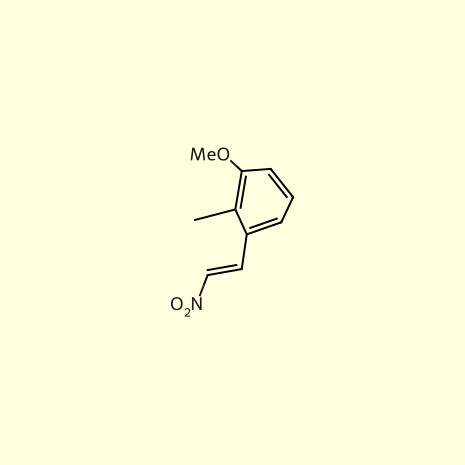 COc1cccc(C=C[N+](=O)[O-])c1C